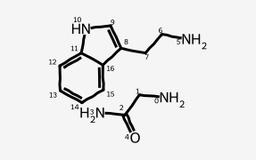 NCC(N)=O.NCCc1c[nH]c2ccccc12